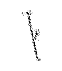 C=C(C)C(=O)OCCOCCOCCOCCOCCOCCOCCOCCOCCOCCO.C=COC(N)=O